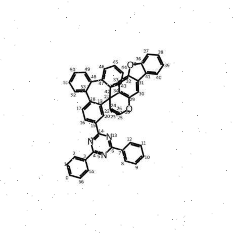 c1ccc(-c2nc(-c3ccccc3)nc(-c3ccc4c(c3)C3(c5ccccc5Oc5cc6c(cc53)oc3ccccc36)c3ccccc3-c3ccccc3-4)n2)cc1